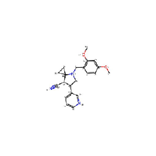 COc1ccc(CN2CC(c3cccnc3)C(C#N)C23CC3)c(OC)c1